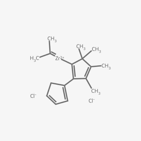 C[C](C)=[Zr+2][C]1=C(C2=CC=CC2)C(C)=C(C)C1(C)C.[Cl-].[Cl-]